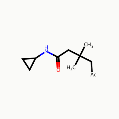 CC(=O)CC(C)(C)CC(=O)NC1CC1